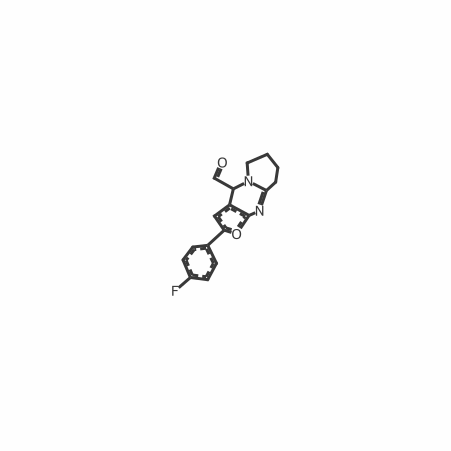 O=CC1c2cc(-c3ccc(F)cc3)oc2N=C2CCCCN21